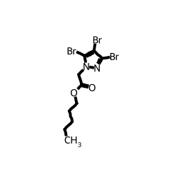 CCCCCOC(=O)Cn1nc(Br)c(Br)c1Br